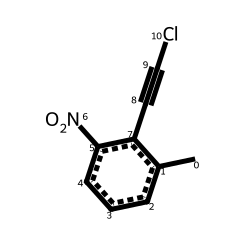 Cc1cccc([N+](=O)[O-])c1C#CCl